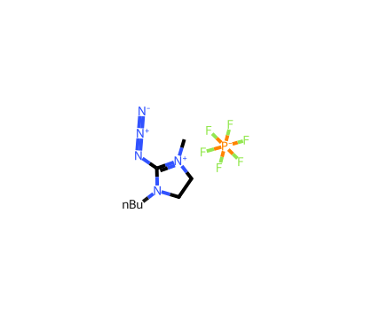 CCCCN1CC[N+](C)=C1N=[N+]=[N-].F[P-](F)(F)(F)(F)F